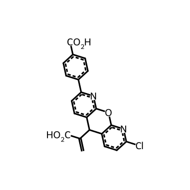 C=C(C(=O)O)C1c2ccc(Cl)nc2Oc2nc(-c3ccc(C(=O)O)cc3)ccc21